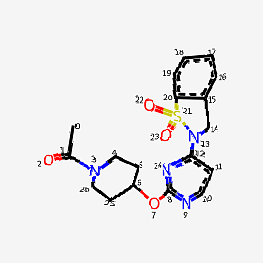 CC(=O)N1CCC(Oc2nccc(N3Cc4ccccc4S3(=O)=O)n2)CC1